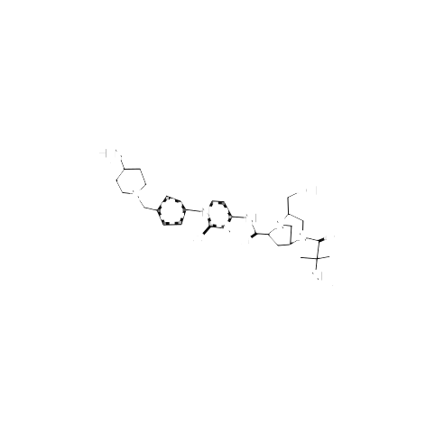 CC(C)(N)C(=O)N1CC(CO)N2CC1CC2C(=O)Nc1ccn(-c2ccc(CN3CCC(N)CC3)cc2)c(=O)n1